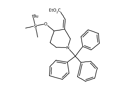 CCOC(=O)/C=C1/CN(C(c2ccccc2)(c2ccccc2)c2ccccc2)CCC1O[Si](C)(C)C(C)(C)C